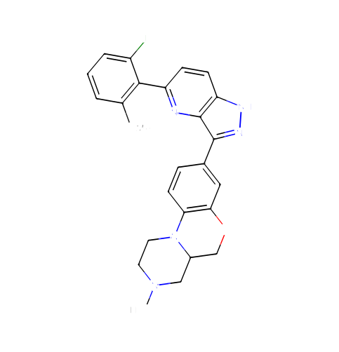 COc1cccc(F)c1-c1ccc2[nH]nc(-c3ccc4c(c3)OCC3CN(C)CCN43)c2n1